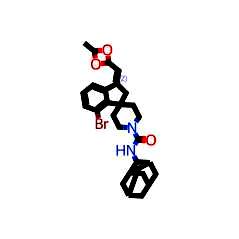 CC1OC(/C=C2/CC3(CCN(C(=O)NC4C5CC6CC(C5)CC4C6)CC3)c3c(Br)cccc32)O1